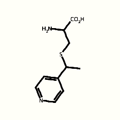 CC(SCC(N)C(=O)O)c1ccncc1